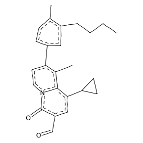 CCCCc1cc(-c2ccn3c(=O)c(C=O)cc(C4CC4)c3c2C)ccc1C